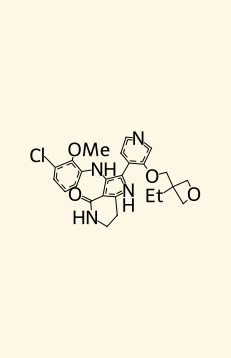 CCC1(COc2cnccc2-c2[nH]c3c(c2Nc2cccc(Cl)c2OC)C(=O)NCC3)COC1